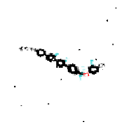 CCCCCC1CCC(c2ccc(-c3ccc(-c4ccc(C(F)(F)Oc5ccc(C#N)c(F)c5)cc4)c(F)c3)c(F)c2)CC1